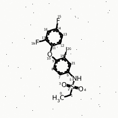 CCS(=O)(=O)Nc1ccc(Oc2ccc(F)cc2F)c(I)c1